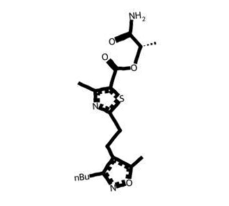 CCCCc1noc(C)c1CCc1nc(C)c(C(=O)O[C@@H](C)C(N)=O)s1